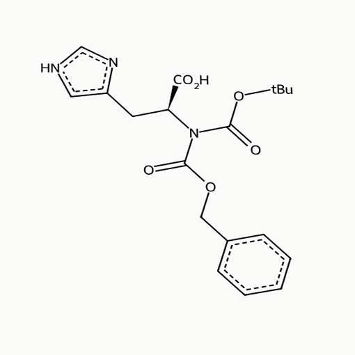 CC(C)(C)OC(=O)N(C(=O)OCc1ccccc1)[C@@H](Cc1c[nH]cn1)C(=O)O